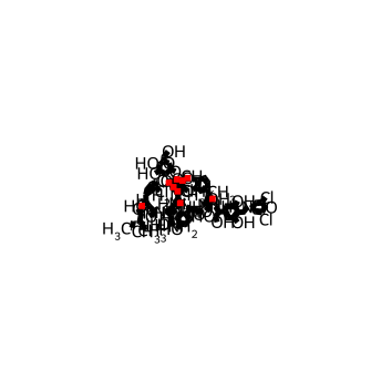 CN[C@H](CC(C)C)C(=O)N[C@H]1C(=O)N[C@@H](CC(N)=O)C(=O)N[C@H]2C(=O)N[C@H](c3ccc(O)cc3)C(=O)N[C@H](C(=O)NC(c3cc(O)c(CN=C4C=C(Cl)C(=O)C(Cl)=C4)c(O)c3)C(O)O)[C@](C)(O)c3ccc(c(Cl)c3)Oc3cc2cc(c3OC2OC(CO)C(O)C(O)C2OC2CC(C)(N)C(O)C(C)O2)Oc2ccc(cc2Cl)[C@H]1O